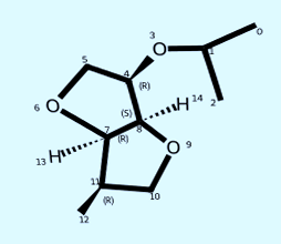 CC(C)O[C@@H]1CO[C@H]2[C@@H]1OC[C@H]2C